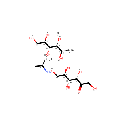 C[C@H](N)C(=O)O.O=C(CO)[C@@H](O)[C@H](O)[C@H](O)CO.O=C[C@H](O)[C@@H](O)[C@H](O)[C@H](O)CO.[KH]